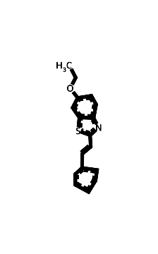 CCOc1ccc2nc(C=Cc3ccccc3)sc2c1